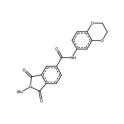 CC(C)(C)N1C(=O)c2ccc(C(=O)Nc3ccc4c(c3)OCCO4)cc2C1=O